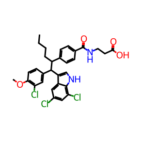 CCCCC(c1ccc(C(=O)NCCC(=O)O)cc1)C(c1ccc(OC)c(Cl)c1)c1c[nH]c2c(Cl)cc(Cl)cc12